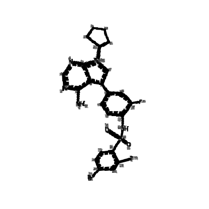 Nc1ncnc2c1c(-c1ccc(NS(=O)(=O)c3ccc(Br)cc3F)c(F)c1)cn2C1CCCC1